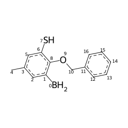 Bc1cc(C)cc(S)c1OCc1ccccc1